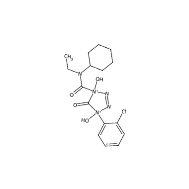 CCN(C(=O)[N+]1(O)N=N[N+](O)(c2ccccc2Cl)C1=O)C1CCCCC1